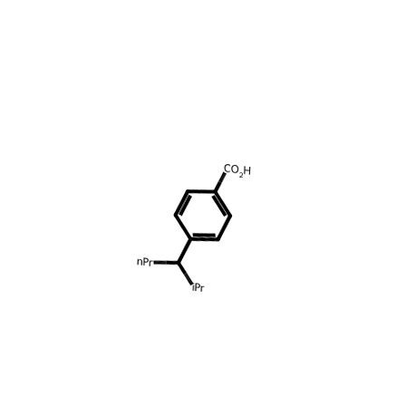 CCC[C](c1ccc(C(=O)O)cc1)C(C)C